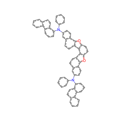 c1ccc(N(c2ccc3c(ccc4c3oc3ccc5oc6c7ccc(N(c8ccccc8)c8cccc9c8ccc8ccccc89)cc7ccc6c5c34)c2)c2cccc3c2ccc2ccccc23)cc1